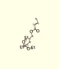 CC=CC(=O)OCCC[Si](CC)(OCC)OCC